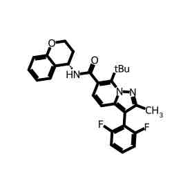 Cc1nn2c(C(C)(C)C)c(C(=O)N[C@H]3CCOc4ccccc43)ccc2c1-c1c(F)cccc1F